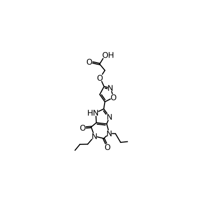 CCCn1c(=O)c2[nH]c(-c3cc(OCC(=O)O)no3)nc2n(CCC)c1=O